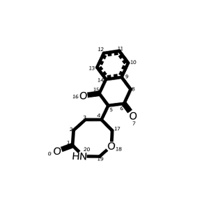 O=C1CCC(C2C(=O)Cc3ccccc3C2=O)COCN1